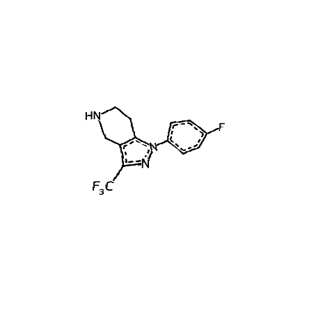 Fc1ccc(-n2nc(C(F)(F)F)c3c2CCNC3)cc1